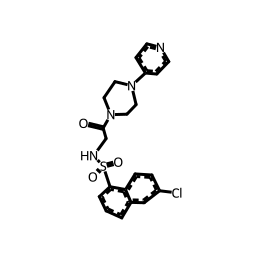 O=C(CNS(=O)(=O)c1cccc2cc(Cl)ccc12)N1CCN(c2ccncc2)CC1